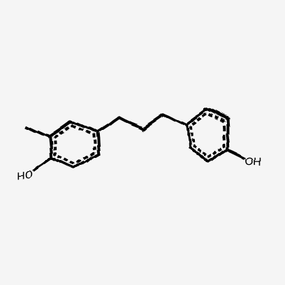 Cc1cc(CCCc2ccc(O)cc2)ccc1O